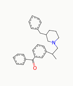 CC(CN1CCCC(Cc2ccccc2)C1)c1cccc(C(=O)c2ccccc2)c1